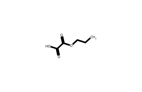 CCCOC(=O)C(=O)O